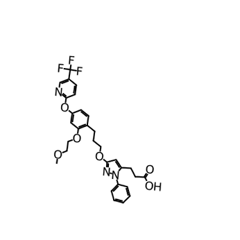 COCCOc1cc(Oc2ccc(C(F)(F)F)cn2)ccc1CCCOc1cc(CCC(=O)O)n(-c2ccccc2)n1